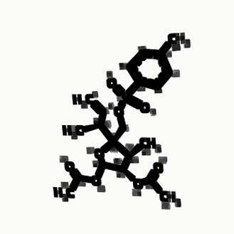 C=C[C@H](C)[C@@]1(COS(=O)(=O)c2ccc(C)cc2)OC(OC(C)=O)[C@H](OC(C)=O)[C@@H]1C